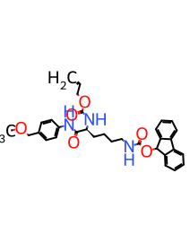 C=CCOC(=O)N[C@@H](CCCCNC(=O)OC1c2ccccc2-c2ccccc21)C(=O)Nc1ccc(COC)cc1